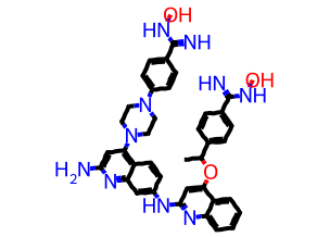 CC(Oc1cc(Nc2ccc3c(N4CCN(c5ccc(C(=N)NO)cc5)CC4)cc(N)nc3c2)nc2ccccc12)c1ccc(C(=N)NO)cc1